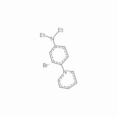 CCN(CC)c1ccc(-[n+]2ccccc2)cc1.[Br-]